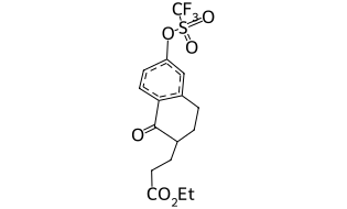 CCOC(=O)CCC1CCc2cc(OS(=O)(=O)C(F)(F)F)ccc2C1=O